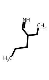 [CH2]CCC(C=N)CC